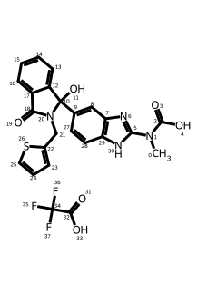 CN(C(=O)O)c1nc2cc(C3(O)c4ccccc4C(=O)N3Cc3cccs3)ccc2[nH]1.O=C(O)C(F)(F)F